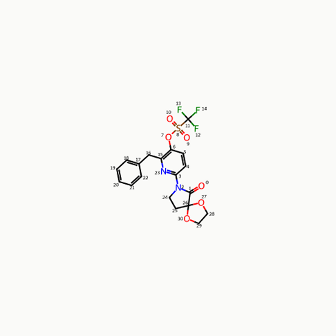 O=C1N(c2ccc(OS(=O)(=O)C(F)(F)F)c(Cc3ccccc3)n2)CCC12OCCO2